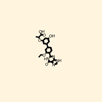 CCOc1cc(-c2cc(O)cc(OC(C)C(=O)O)c2)ccc1-c1nc2[nH]cnc2c(=O)[nH]1